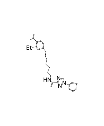 C=C(NCCCCCCCc1ccc(C(=C)C)c(CC)c1)c1ncn(-c2ccccc2)n1